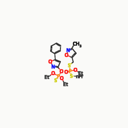 CCCSP(=O)(OCC)SCc1cc(C)no1.CCOP(=S)(OCC)Oc1cc(-c2ccccc2)on1